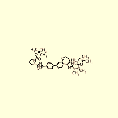 C[C@@H](c1nc2c([nH]1)CCOc1cc(-c3ccc(C4CN=C([C@@H]5CCCN5C(=O)OC(C)(C)C)N4)cc3)ccc1-2)N(C)C(=O)OC(C)(C)C